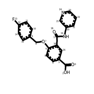 O=C(O)c1ccc(OCc2ccc(F)cc2)c(C(=O)Nc2cccnc2)c1